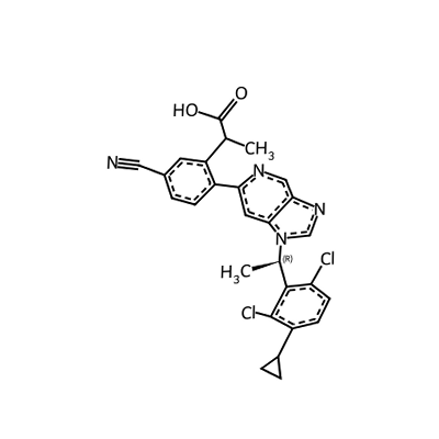 CC(C(=O)O)c1cc(C#N)ccc1-c1cc2c(cn1)ncn2[C@H](C)c1c(Cl)ccc(C2CC2)c1Cl